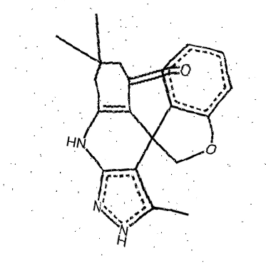 Cc1[nH]nc2c1C1(COc3ccccc31)C1=C(CC(C)(C)CC1=O)N2